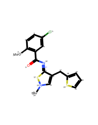 COc1ccc(Cl)cc1C(=O)/N=c1\sn(C(C)(C)C)cc1Cc1cccs1